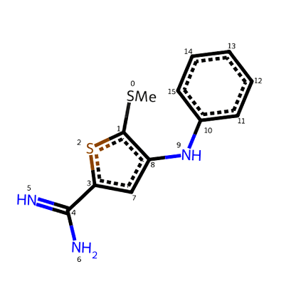 CSc1sc(C(=N)N)cc1Nc1ccccc1